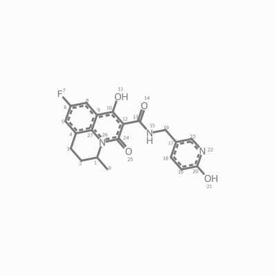 CC1CCc2cc(F)cc3c(O)c(C(=O)NCc4ccc(O)nc4)c(=O)n1c23